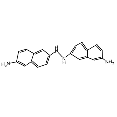 Nc1ccc2cc(NNc3ccc4ccc(N)cc4c3)ccc2c1